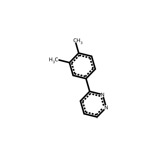 Cc1ccc(-c2cc[c]nn2)cc1C